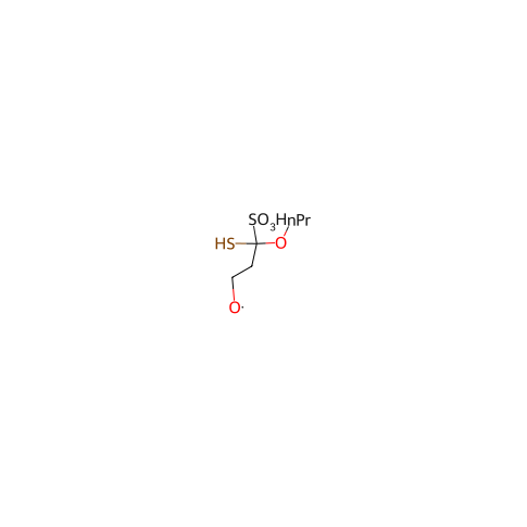 CCCOC(S)(CC[O])S(=O)(=O)O